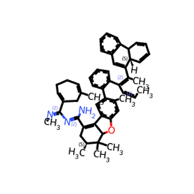 C/C=C\C(=C(/C)C1=Cc2ccccc2C2C=CC=C[C@H]12)c1ccccc1-c1cc2c(cc1C)OC1C2=C(/C(N)=N/C(=N\C)C2=CCCC=C(C)C2)C[C@H](C)C1(C)C